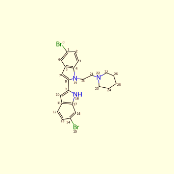 Brc1ccc2c(c1)cc(-c1cc3ccc(Br)cc3[nH]1)n2CCN1CCCCC1